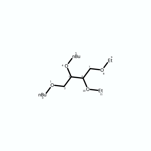 CCCCOCC(OCCCC)C(COCC)OCC